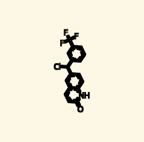 O=c1ccc2cc(C(Cl)c3cccc(C(F)(F)F)c3)ccc2[nH]1